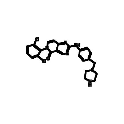 O=c1c2cnc(Nc3ccc(CN4CCNCC4)cc3)nc2ccn1-c1c(Cl)cccc1Cl